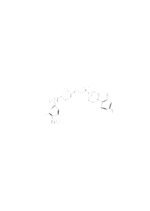 Cc1cc(NC2CCC(OCC(=O)N3CCC(c4ccc(F)cc4F)CC3)CC2)ccc1[N+](=O)[O-]